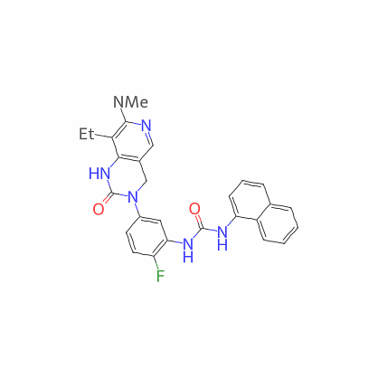 CCc1c(NC)ncc2c1NC(=O)N(c1ccc(F)c(NC(=O)Nc3cccc4ccccc34)c1)C2